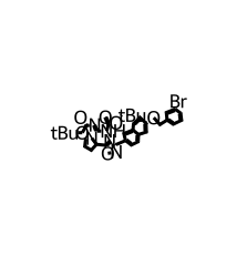 CC(C)(C)OC(=O)N=C(NC(=O)OC(C)(C)C)N1CCCC1c1nc(-c2ccc3cc(OCc4cccc(Br)c4)ccc3c2)no1